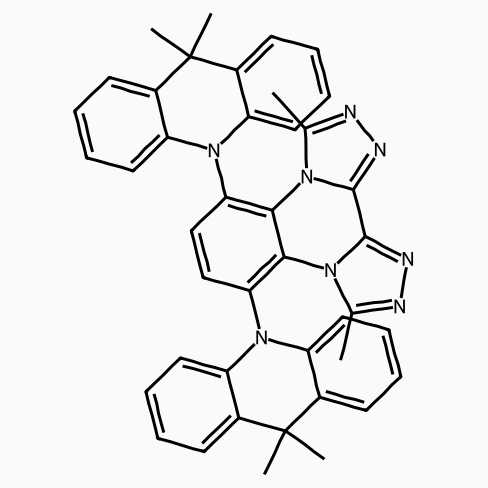 Cc1nnc2c3nnc(C)n3c3c(N4c5ccccc5C(C)(C)c5ccccc54)ccc(N4c5ccccc5C(C)(C)c5ccccc54)c3n12